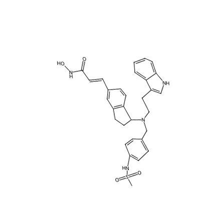 CS(=O)(=O)Nc1ccc(CN(CCc2c[nH]c3ccccc23)C2CCc3cc(/C=C/C(=O)NO)ccc32)cc1